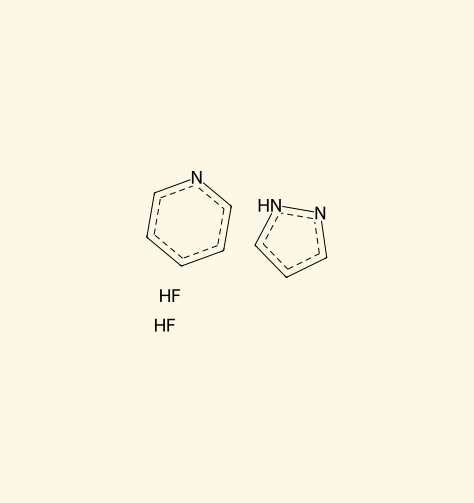 F.F.c1ccncc1.c1cn[nH]c1